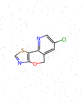 Clc1cnc2c(c1)COc1ncsc1-2